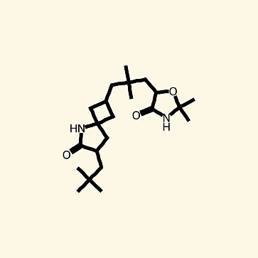 CC(C)(C)CC1CC2(CC(CC(C)(C)CC3OC(C)(C)NC3=O)C2)NC1=O